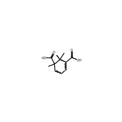 CC1(C)C(C(=O)O)=CC=CC1(C)C(=O)O